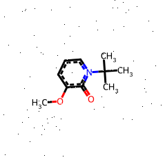 COc1cccn(C(C)(C)C)c1=O